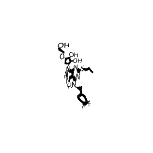 CCCSc1nc(N[C@@H]2CC2c2ccc(F)c(F)c2)c2nnn([C@@H]3C[C@H](OCCO)[C@@H](O)C3O)c2n1